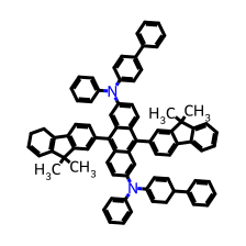 CC1(C)C2=C(CCC=C2)c2ccc(-c3c4ccc(N(C5=CCC(c6ccccc6)C=C5)c5ccccc5)cc4c(-c4ccc5c(c4)C(C)(C)c4ccccc4-5)c4ccc(N(c5ccccc5)c5ccc(-c6ccccc6)cc5)cc34)cc21